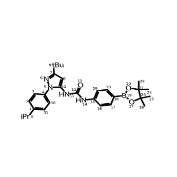 CC(C)c1ccc(-n2nc(C(C)(C)C)cc2NC(=O)Nc2ccc(B3OC(C)(C)C(C)(C)O3)cc2)cc1